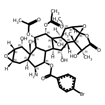 CC(=O)O[C@H]1C2C([C@@H](OC(=O)c3ccc(Br)cc3)[C@@H](N)[C@H]3C[C@@H]4O[C@@H]4[C@H](O)[C@]23C)[C@@H]2[C@@H](O)[C@@H]3[C@H]([C@H](C)[C@H]4O[C@]45OC(=O)[C@@](C)(O)[C@]35C)[C@@]2(C)[C@H]1OC(C)=O